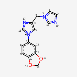 c1cn(Cc2cn(-c3ccc4c(c3)OCO4)cn2)cn1